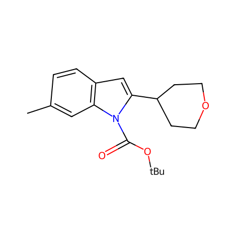 Cc1ccc2cc(C3CCOCC3)n(C(=O)OC(C)(C)C)c2c1